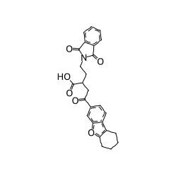 O=C(CC(CCN1C(=O)c2ccccc2C1=O)C(=O)O)c1ccc2c3c(oc2c1)CCCC3